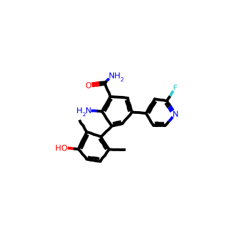 Cc1ccc(O)c(C)c1-c1cc(-c2ccnc(F)c2)cc(C(N)=O)c1N